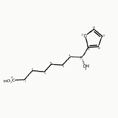 O=C(O)CCCCCC[C@@H](O)c1ccco1